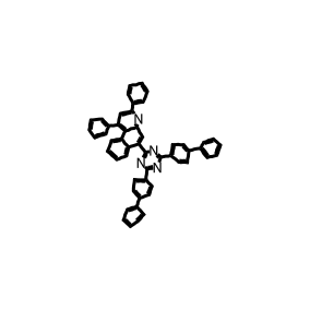 c1ccc(-c2ccc(-c3nc(-c4ccc(-c5ccccc5)cc4)nc(-c4cc5nc(-c6ccccc6)cc(-c6ccccc6)c5c5ccccc45)n3)cc2)cc1